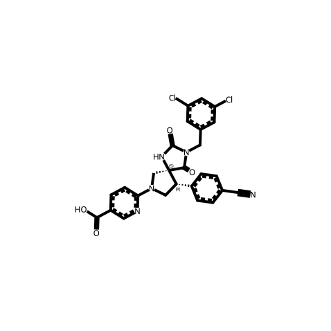 N#Cc1ccc([C@@H]2CN(c3ccc(C(=O)O)cn3)C[C@@]23NC(=O)N(Cc2cc(Cl)cc(Cl)c2)C3=O)cc1